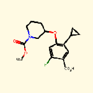 CC(C)(C)OC(=O)N1CCCC(Oc2cc(F)c(C(=O)O)cc2C2CC2)C1